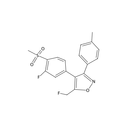 Cc1ccc(-c2noc(CF)c2-c2ccc(S(C)(=O)=O)c(F)c2)cc1